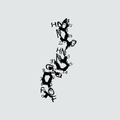 CC(F)(F)Oc1cccc(S(=O)(=O)c2ccc(CNC(=O)c3cnc4[nH]ncc4c3)nc2)c1